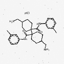 Cc1cccc(NC(=O)C2(C3(C(=O)Nc4cccc(C)c4)CCC(CN)CC3)CCC(CN)CC2)c1.Cl